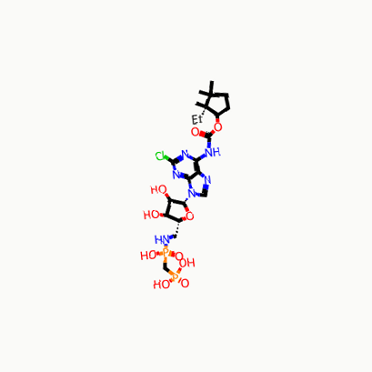 CC[C@@]1(C)C(OC(=O)Nc2nc(Cl)nc3c2ncn3[C@@H]2O[C@H](CNP(=O)(O)CP(=O)(O)O)C(O)C2O)CCC1(C)C